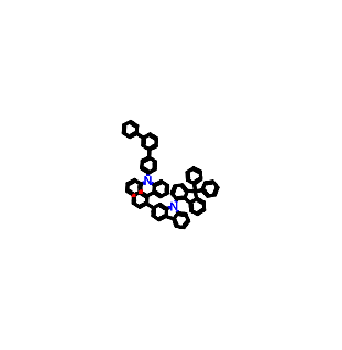 c1ccc(-c2cccc(-c3ccc(N(c4ccccc4)c4ccccc4-c4ccccc4-c4ccc5c6ccccc6n(-c6cccc7c6-c6ccccc6C7(c6ccccc6)c6ccccc6)c5c4)cc3)c2)cc1